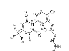 CNN=Cc1cc2c(Cl)ccc(-n3c(=O)cc(C(F)(F)F)n(C)c3=O)c2o1